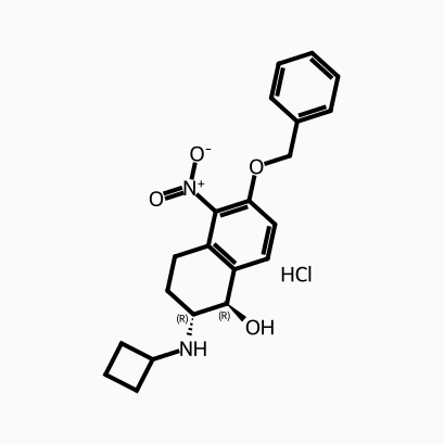 Cl.O=[N+]([O-])c1c(OCc2ccccc2)ccc2c1CC[C@@H](NC1CCC1)[C@@H]2O